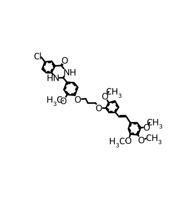 COc1cc(C2NC(=O)c3cc(Cl)ccc3N2)ccc1OCCCOc1cc(/C=C/c2cc(OC)c(OC)c(OC)c2)ccc1OC